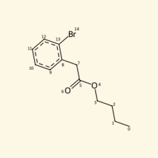 CCCCOC(=O)Cc1ccccc1Br